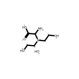 Cl.NC(C(=O)O)N(CCO)CCO